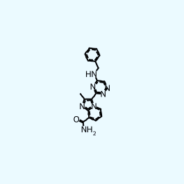 Cc1nc2c(C(N)=O)cccn2c1-c1nncc(NCc2ccccc2)n1